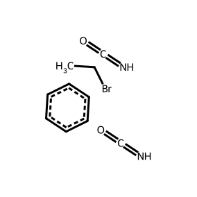 CCBr.N=C=O.N=C=O.c1ccccc1